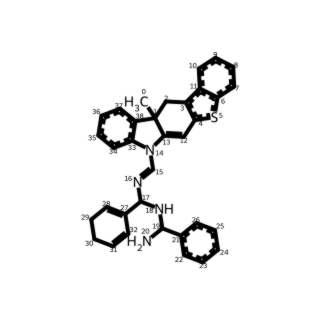 CC12Cc3c(sc4ccccc34)C=C1N(/C=N/C(NC(N)c1ccccc1)C1=CCCC=C1)c1ccccc12